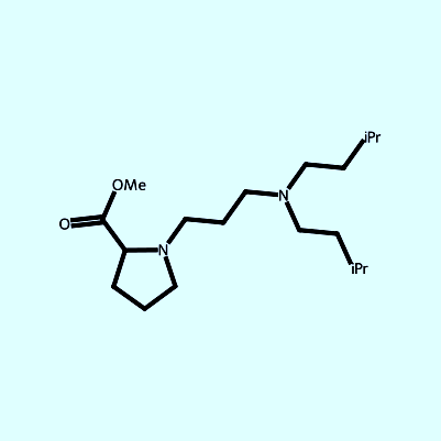 COC(=O)C1CCCN1CCCN(CCC(C)C)CCC(C)C